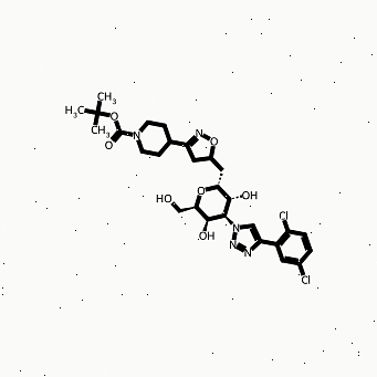 CC(C)(C)OC(=O)N1CCC(C2=NOC(C[C@H]3O[C@H](CO)[C@H](O)[C@H](n4cc(-c5cc(Cl)ccc5Cl)nn4)[C@H]3O)C2)CC1